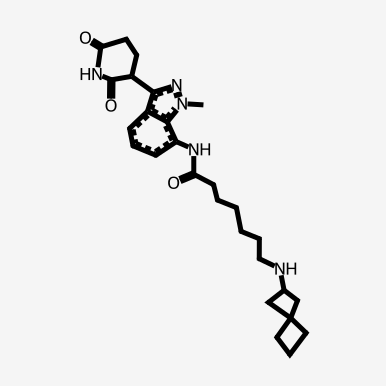 Cn1nc(C2CCC(=O)NC2=O)c2cccc(NC(=O)CCCCCCNC3CC4(CCC4)C3)c21